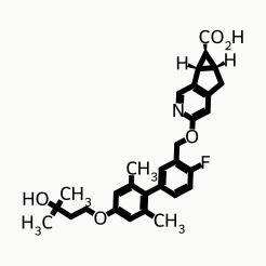 Cc1cc(OCCC(C)(C)O)cc(C)c1-c1ccc(F)c(COc2cc3c(cn2)[C@H]2[C@@H](C3)[C@@H]2C(=O)O)c1